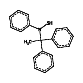 CC(c1ccccc1)(c1ccccc1)N(S)c1ccccc1